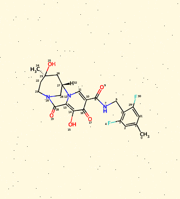 Cc1cc(F)c(CNC(=O)c2cn3c(c(O)c2=O)C(=O)N2CC[C@@](C)(O)C[C@H]3C2)c(F)c1